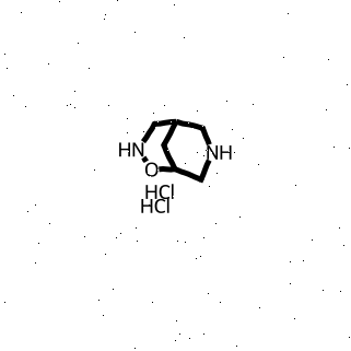 C1NCC2CC1CNO2.Cl.Cl